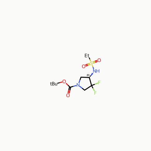 CCS(=O)(=O)N[C@@H]1CN(C(=O)OC(C)(C)C)CC1(F)F